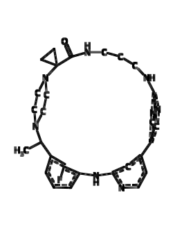 CC1c2cccc(c2F)Nc2cc(ccn2)-c2cnc(nc2)NCCCNC(=O)C2(CC2)N2CCN1CC2